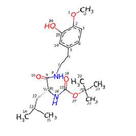 COc1ccc(CCNC(=O)[C@@H](CC(C)C)NC(=O)OC(C)(C)C)cc1O